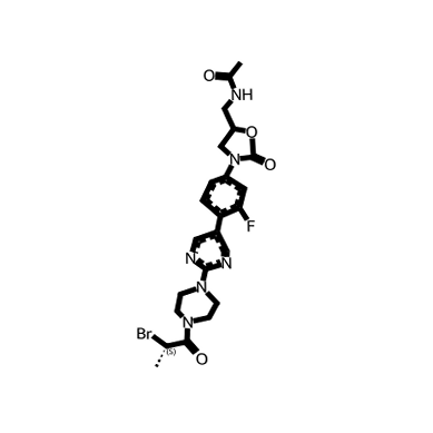 CC(=O)NCC1CN(c2ccc(-c3cnc(N4CCN(C(=O)[C@H](C)Br)CC4)nc3)c(F)c2)C(=O)O1